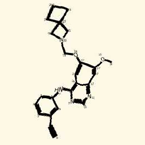 C#Cc1cccc(Nc2ncnc3cc(OC)c(OCN4CC5(CCC5)C4)cc23)c1